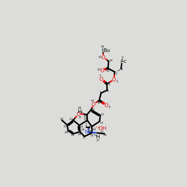 CC(=O)C[C@H](OC(=O)CCC(=O)OC1=CC[C@@]2(O)[C@H]3Cc4ccc(C)c5c4[C@@]2(CCN3C)[C@H]1O5)C(=O)COC(C)(C)C